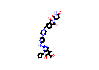 CC(=O)c1c(C)c2cnc(Nc3ccc(N4CCN(Cc5ccc6c(c5)C(=O)N(C5CCC(=O)NC5=O)C6=O)CC4)cn3)nc2n(C2CCCC2)c1=O